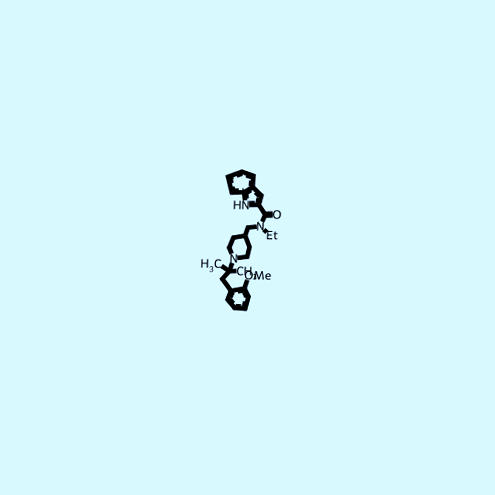 CCN(CC1CCN(C(C)(C)Cc2ccccc2OC)CC1)C(=O)c1cc2ccccc2[nH]1